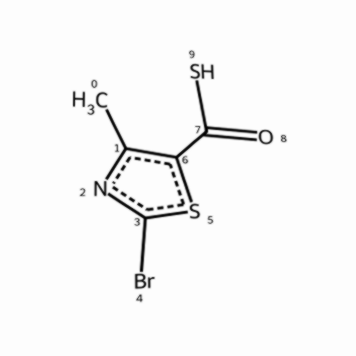 Cc1nc(Br)sc1C(=O)S